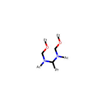 CCOCN(C(C)=O)C(C(C)C)N(COCC)C(C)=O